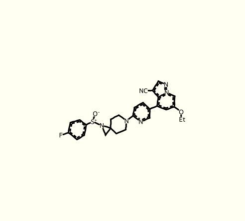 CCOc1cc(-c2ccc(N3CCC4(CC3)CN4[S+]([O-])c3ccc(F)cc3)nc2)c2c(C#N)cnn2c1